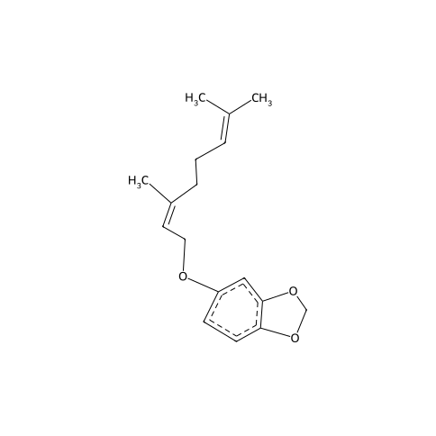 CC(C)=CCCC(C)=CCOc1ccc2c(c1)OCO2